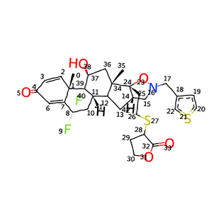 C[C@]12C=CC(=O)C=C1[C@@H](F)C[C@H]1C3C[C@H]4CN(Cc5ccsc5)O[C@@]4(CCSC4CCOC4=O)[C@@]3(C)C[C@H](O)[C@@]12F